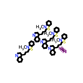 CN1C(=CC=Cc2ccnc3ccccc23)Sc2ccccc21.CN1C(=CC=Cc2ccnc3ccccc23)Sc2ccccc21.CN1C(=CC=Cc2ccnc3ccccc23)Sc2ccccc21.CN1C(=CC=Cc2ccnc3ccccc23)Sc2ccccc21.I.I.I.I